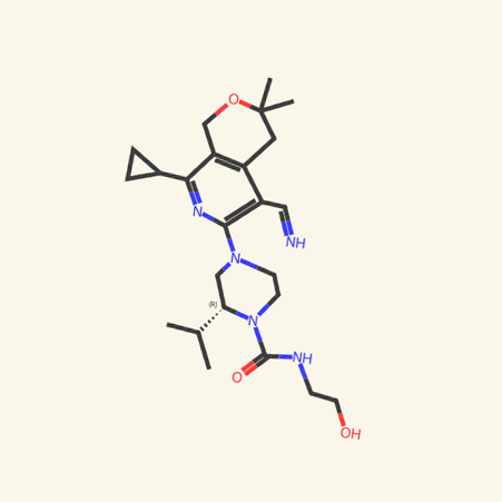 CC(C)[C@@H]1CN(c2nc(C3CC3)c3c(c2C=N)CC(C)(C)OC3)CCN1C(=O)NCCO